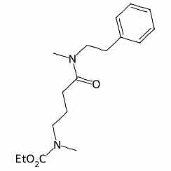 CCOC(=O)N(C)CCCC(=O)N(C)CCc1ccccc1